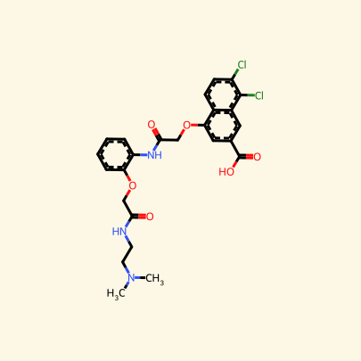 CN(C)CCNC(=O)COc1ccccc1NC(=O)COc1cc(C(=O)O)cc2c(Cl)c(Cl)ccc12